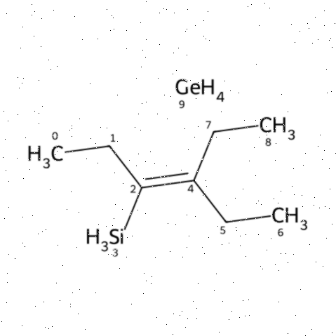 CCC([SiH3])=C(CC)CC.[GeH4]